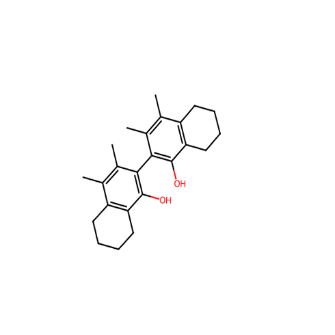 Cc1c(C)c(-c2c(C)c(C)c3c(c2O)CCCC3)c(O)c2c1CCCC2